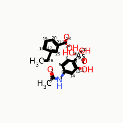 CC(=O)Nc1ccc([As](=O)(O)O)c(O)c1.CCc1cccc(C(=O)O)c1